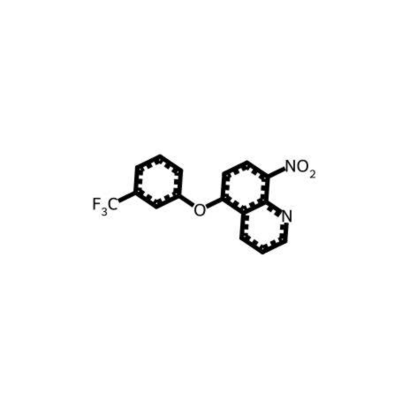 O=[N+]([O-])c1ccc(Oc2cccc(C(F)(F)F)c2)c2cccnc12